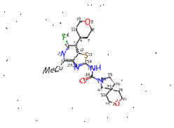 COc1nc(F)c(C2CCOCC2)c2sc(NC(=O)N3CCC4(CCOCC4)C3)nc12